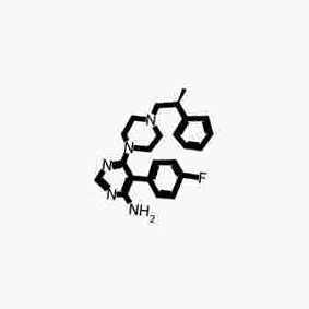 C[C@H](CN1CCN(c2ncnc(N)c2-c2ccc(F)cc2)CC1)c1ccccc1